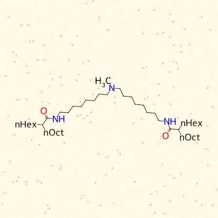 CCCCCCCCC(CCCCCC)C(=O)NCCCCCCCCN(C)CCCCCCCCNC(=O)C(CCCCCC)CCCCCCCC